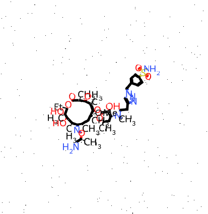 CC[C@H]1OC(=O)[C@H](C)C(=O)[C@H](C)[C@@H](O[C@@H]2O[C@H](C)C[C@H](N(C)CCc3cn(Cc4ccc(S(N)(=O)=O)cc4)nn3)[C@H]2O)[C@](C)(OC)C[C@@H](C)/C(=N\O[C@H](C)CN)[C@H](C)[C@@H](O)[C@]1(C)O